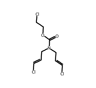 O=C(OCCCl)N(CC=CCl)CC=CCl